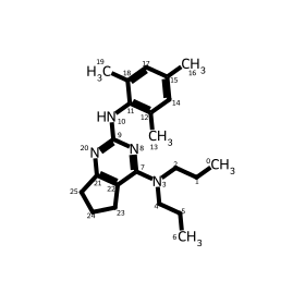 CCCN(CCC)c1nc(Nc2c(C)cc(C)cc2C)nc2c1CCC2